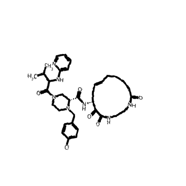 CC(C)C(Nc1ccccn1)C(=O)N1CCN(Cc2ccc(Cl)cc2)[C@@H](C(=O)N[C@@H]2C/C=C/CCCCC(=O)NCCNC(=O)C2=O)C1